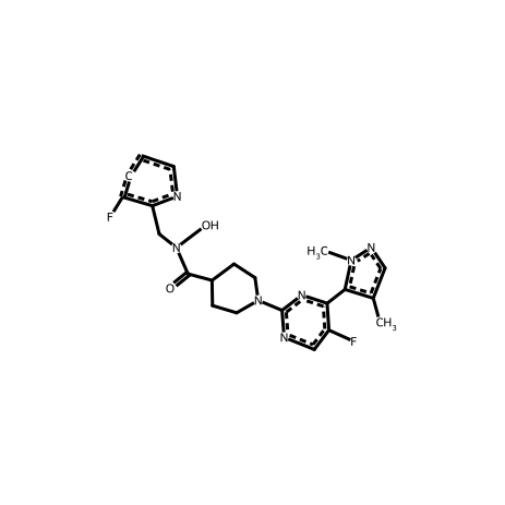 Cc1cnn(C)c1-c1nc(N2CCC(C(=O)N(O)Cc3ncccc3F)CC2)ncc1F